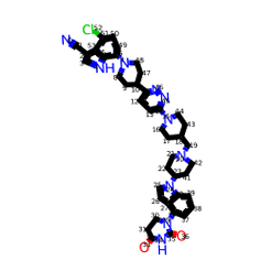 N#Cc1c[nH]c2c(N3CCC(c4ccc(N5CCC(CN6CCC(n7ccc8c(N9CCC(=O)NC9=O)cccc87)CC6)CC5)nn4)CC3)ccc(Cl)c12